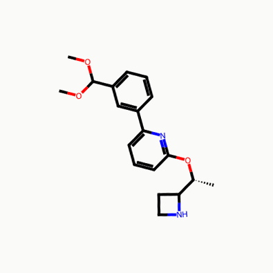 COC(OC)c1cccc(-c2cccc(O[C@H](C)C3CCN3)n2)c1